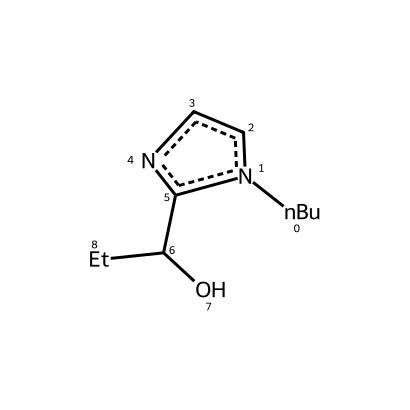 CCCCn1ccnc1C(O)CC